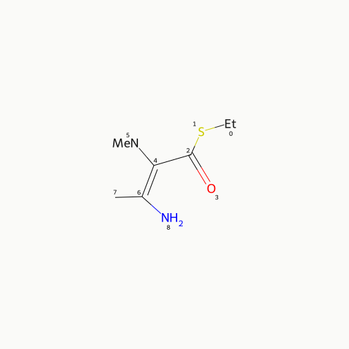 CCSC(=O)/C(NC)=C(/C)N